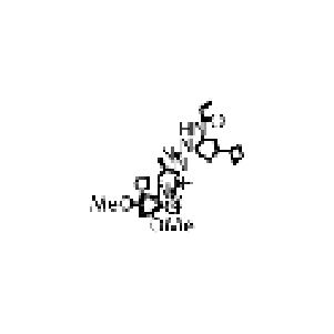 C=CC(=O)N[C@H]1CC(C2CCC2)CC[C@H]1Nc1ncc2c(n1)N(C)C(=O)N(c1c(Cl)c(OC)cc(OC)c1Cl)C2